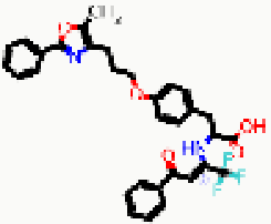 Cc1oc(-c2ccccc2)nc1CCCOc1ccc(CC(N/C(=C\C(=O)c2ccccc2)C(F)(F)F)C(=O)O)cc1